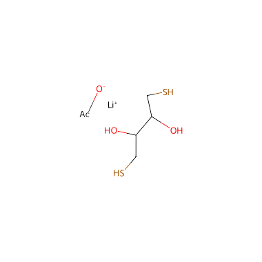 CC(=O)[O-].OC(CS)C(O)CS.[Li+]